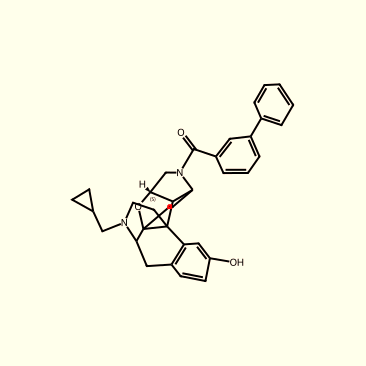 O=C(c1cccc(-c2ccccc2)c1)N1C[C@H]2OC34CCC1C2C31CCN(CC2CC2)C4Cc2ccc(O)cc21